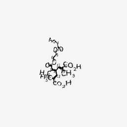 CC(=O)CC(=O)OCCOC(=O)C(C)=C(C=C(C)C(=O)O)C=C(C)C(=O)O